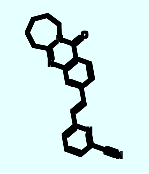 N#Cc1cccc(C=Cc2ccc3c(=O)n4c(nc3c2)CCCCC4)n1